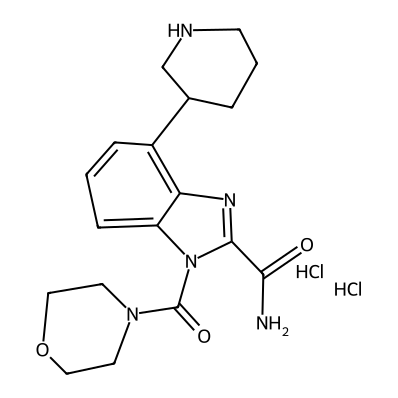 Cl.Cl.NC(=O)c1nc2c(C3CCCNC3)cccc2n1C(=O)N1CCOCC1